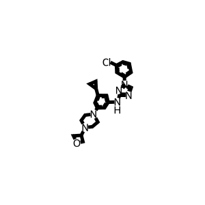 Clc1cccc(-n2cnc(Nc3cc(C4CC4)cc(N4CCN(C5COC5)CC4)c3)n2)c1